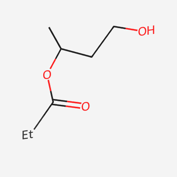 CCC(=O)OC(C)CCO